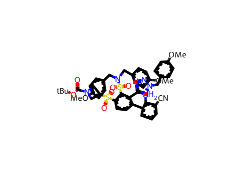 COc1ccc(CN(Cc2ccc(OC)cc2)S(=O)(=O)c2c(S(=O)(=O)C3CN(C(=O)OC(C)(C)C)C3)ccc(-c3cccc(C#N)c3N)c2-c2nnn(Cc3ccc(OC)cc3)n2)cc1